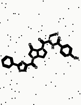 CC(C)C[C@H](NC(=O)c1ccc(C(C)(C)C)cc1)C(=O)N1CCC2C1C(=O)CN2C(=O)c1csc(-c2ccccc2)n1